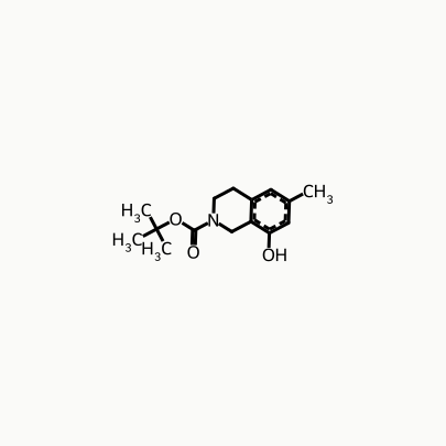 Cc1cc(O)c2c(c1)CCN(C(=O)OC(C)(C)C)C2